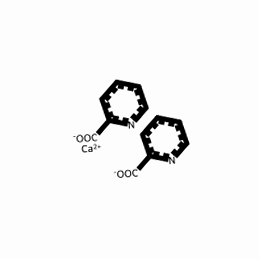 O=C([O-])c1ccccn1.O=C([O-])c1ccccn1.[Ca+2]